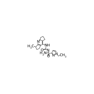 CCn1ccc(S(N)(=O)=NC(=O)Nc2c3c(nc4c2CC[C@H]4C)CCC3)n1